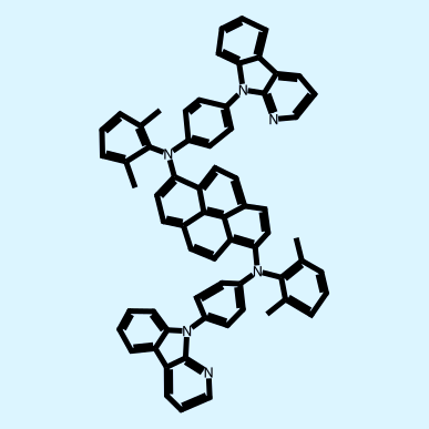 Cc1cccc(C)c1N(c1ccc(-n2c3ccccc3c3cccnc32)cc1)c1ccc2ccc3c(N(c4ccc(-n5c6ccccc6c6cccnc65)cc4)c4c(C)cccc4C)ccc4ccc1c2c43